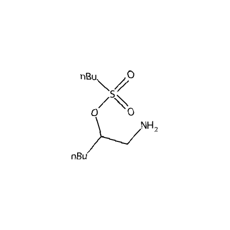 CCCCC(CN)OS(=O)(=O)CCCC